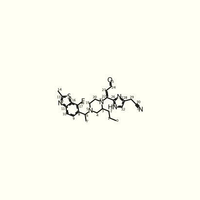 CCCC1CN(C(C)c2ccc3nc(C)sc3c2F)CCN1/C(=C/C=O)c1nc(CC#N)c[nH]1